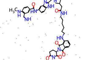 CNc1ccc(C(=O)Nc2ccc3[nH]c(CN4CCC(CC(=O)NCCCCCCNc5cccc6c5C(=O)N(C5CCC(=O)NC5=O)C6=O)C4)nc3c2)cc1C=N